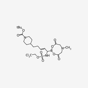 CN1CC(=O)OB(C(/C=C/CCC2CCN(C(=O)OC(C)(C)C)CC2)NS(=O)(=O)OCC(Cl)(Cl)Cl)OC(=O)C1